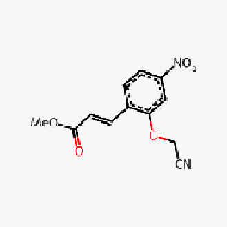 COC(=O)/C=C/c1ccc([N+](=O)[O-])cc1OCC#N